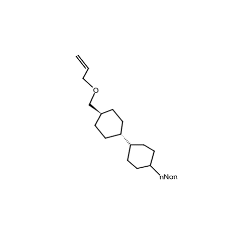 C=CCOC[C@H]1CC[C@H](C2CCC(CCCCCCCCC)CC2)CC1